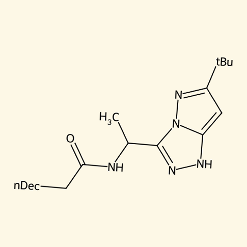 CCCCCCCCCCCC(=O)NC(C)c1n[nH]c2cc(C(C)(C)C)nn12